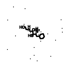 N[C@@H](CC1CCCCC1)C(O)C(O)CNCCO